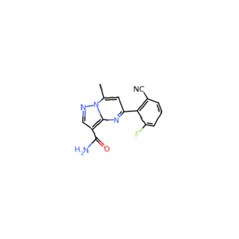 Cc1cc(-c2c(F)cccc2C#N)nc2c(C(N)=O)cnn12